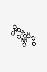 c1ccc(-c2cccc(-c3cnc(-c4ccc5c(c4)sc4cc6c7ccccc7n(-c7ccccc7)c6cc45)c(-c4nc(-c5ccccc5)nc(-c5ccccc5)n4)c3)c2)cc1